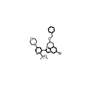 CO[C@@H](C)c1ncc(N2CCOCC2)cc1-c1cc2cc(Br)cc3c2n1CC(OCc1ccccc1)C3